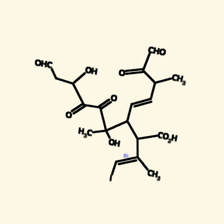 C/C(=C\I)C(C(=O)O)C(C=CC(C)C(=O)C=O)C(C)(O)C(=O)C(=O)C(O)CC=O